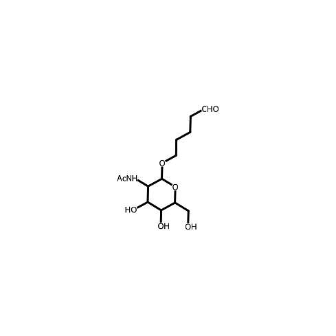 CC(=O)NC1C(OCCCCC=O)OC(CO)C(O)C1O